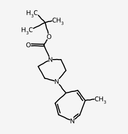 CC1=CC(N2CCN(C(=O)OC(C)(C)C)CC2)C=CN=C1